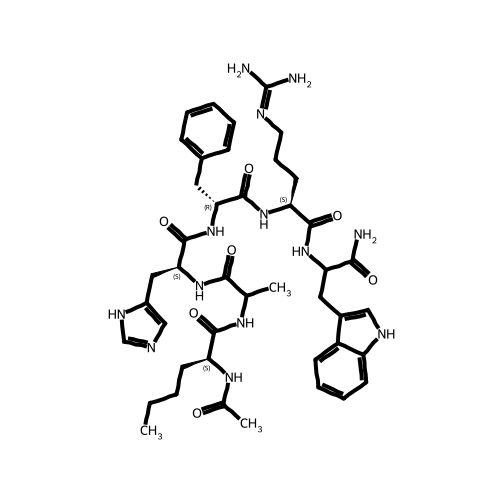 CCCC[C@H](NC(C)=O)C(=O)NC(C)C(=O)N[C@@H](Cc1cnc[nH]1)C(=O)N[C@H](Cc1ccccc1)C(=O)N[C@@H](CCCN=C(N)N)C(=O)NC(Cc1c[nH]c2ccccc12)C(N)=O